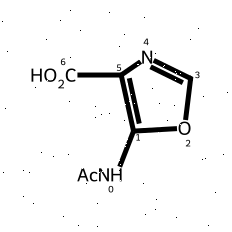 CC(=O)Nc1ocnc1C(=O)O